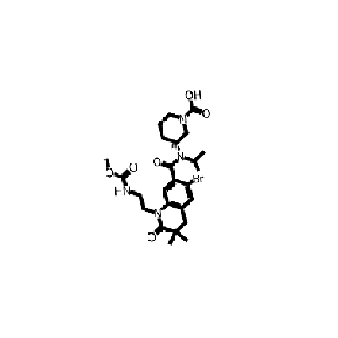 COC(=O)NCCN1C(=O)C(C)(C)Cc2cc(Br)c(C(=O)N(C(C)C)[C@@H]3CCCN(C(=O)O)C3)cc21